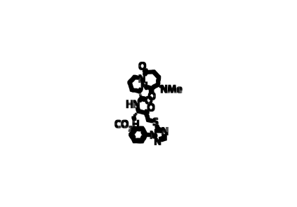 CN[C@H]1CCC(=O)N2CCC[C@@H](C(=O)N[C@@H](CC(=O)O)C(=O)CSc3ncnn3-c3ccccc3)N2C1=O